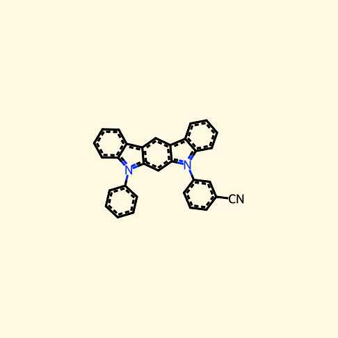 N#Cc1cccc(-n2c3ccccc3c3cc4c5ccccc5n(-c5ccccc5)c4cc32)c1